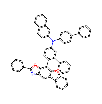 c1ccc(-c2ccc(N(c3ccc(-c4c5oc(-c6ccccc6)nc5cc5c4oc4ccccc45)c(-c4ccccc4)c3)c3ccc4ccccc4c3)cc2)cc1